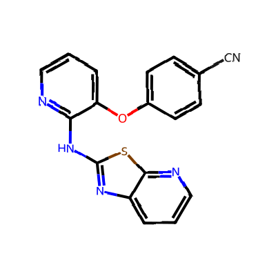 N#Cc1ccc(Oc2cccnc2Nc2nc3cccnc3s2)cc1